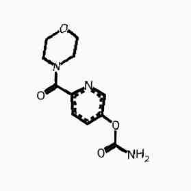 NC(=O)Oc1ccc(C(=O)N2CCOCC2)nc1